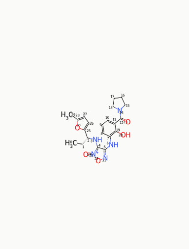 CC[C@@H](Nc1c(Nc2cccc(C(=O)N3CCCC3)c2O)no[n+]1[O-])c1ccc(C)o1